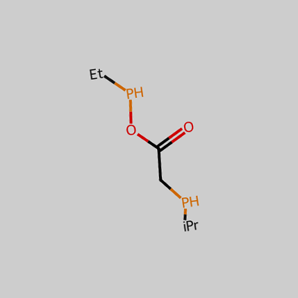 CCPOC(=O)CPC(C)C